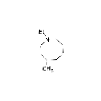 CCN1CCCC[C@H](C)CC1